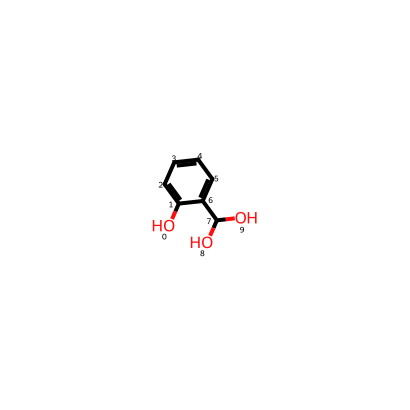 Oc1ccccc1C(O)O